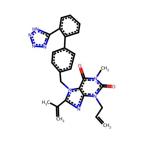 C=CCn1c(=O)n(C)c(=O)c2c1nc(C(=C)C)n2Cc1ccc(-c2ccccc2-c2nnn[nH]2)cc1